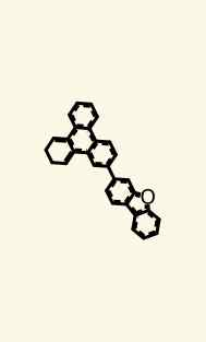 C1=c2c(c3cc(-c4ccc5c(c4)oc4ccccc45)ccc3c3ccccc23)=CCC1